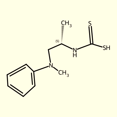 C[C@@H](CN(C)c1ccccc1)NC(=S)S